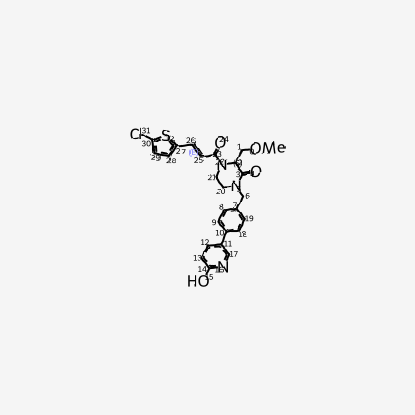 COC[C@H]1C(=O)N(Cc2ccc(-c3ccc(O)nc3)cc2)CCN1C(=O)/C=C/c1ccc(Cl)s1